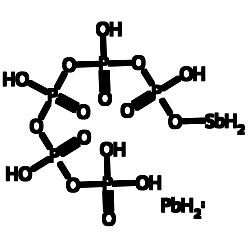 O=P(O)(O)OP(=O)(O)OP(=O)(O)OP(=O)(O)OP(=O)(O)[O][SbH2].[PbH2]